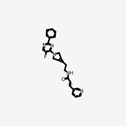 O=C(/C=C/c1cccnc1)NCCC1C2CN(c3nc(-c4ccccc4)ncc3F)CC12